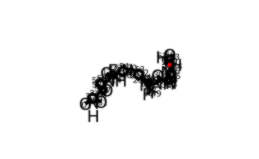 O=C1CCC(c2coc3c(NC(=O)C(F)(F)C4CCN(CC5CCC(n6cc(NC(=O)c7cnn8ccc(N9C[C@H]%10C[C@@H]9CO%10)nc78)c(C(F)F)n6)CC5)CC4)cccc23)C(=O)N1